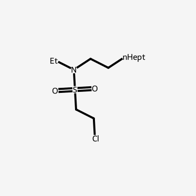 CCCCCCCCCN(CC)S(=O)(=O)CCCl